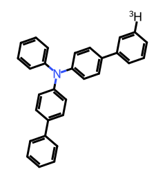 [3H]c1cccc(-c2ccc(N(c3ccccc3)c3ccc(-c4ccccc4)cc3)cc2)c1